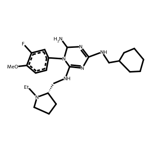 CCN1CCC[C@H]1CNC1=NC(NCC2CCCCC2)=NC(N)N1c1ccc(OC)c(F)c1